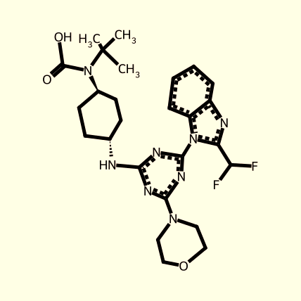 CC(C)(C)N(C(=O)O)[C@H]1CC[C@H](Nc2nc(N3CCOCC3)nc(-n3c(C(F)F)nc4ccccc43)n2)CC1